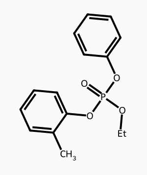 CCOP(=O)(Oc1ccccc1)Oc1ccccc1C